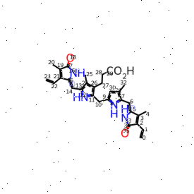 C=CC1=C(C)/C(=C/c2[nH]c(Cc3[nH]c(/C=C4\NC(=O)C(C)=C4C=C)c(C)c3CCC(=O)O)cc2C)NC1=O